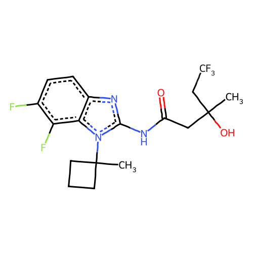 CC(O)(CC(=O)Nc1nc2ccc(F)c(F)c2n1C1(C)CCC1)CC(F)(F)F